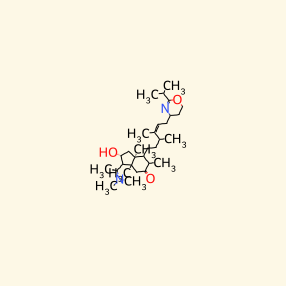 C/C(=C/CC1CCOC(C(C)C)=N1)C(C)CCC1C(C)C(=O)CC2(C)C([C@H](C)N(C)C)[C@H](O)C[C@@]12C